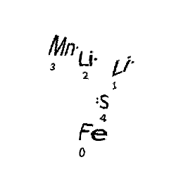 [Fe].[Li].[Li].[Mn].[S]